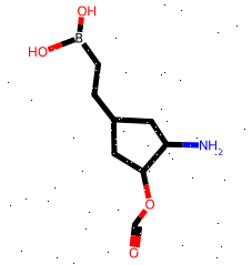 NC1CC(CCB(O)O)CC1OC=O